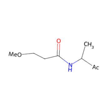 COCCC(=O)NC(C)C(C)=O